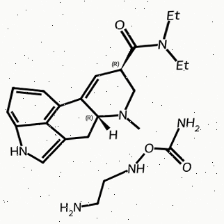 CCN(CC)C(=O)[C@@H]1C=C2c3cccc4[nH]cc(c34)C[C@H]2N(C)C1.NCCNOC(N)=O